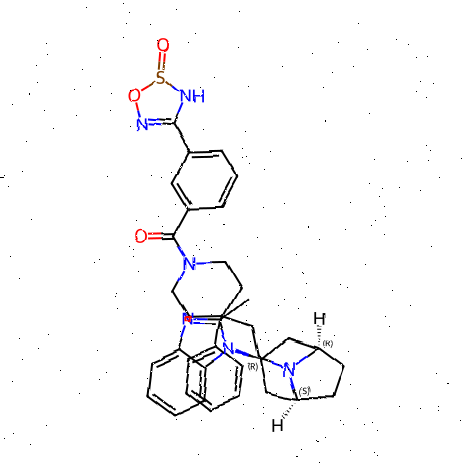 Cc1nc2ccccc2n1[C@H]1C[C@H]2CC[C@@H](C1)N2CCC1(c2ccccc2)CCN(C(=O)c2cccc(C3=NOS(=O)N3)c2)CC1